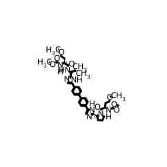 COCCC(NC1OCO1)C(=O)N1CCC[C@H]1c1ncc(-c2ccc(-c3ccc(-c4cnc([C@@H](NC(=O)[C@H](CCOC)NC(=O)OC)C(C)C)[nH]4)cc3)cc2)[nH]1